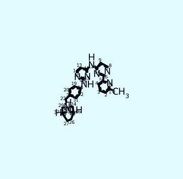 Cc1cccc(-c2nccc(Nc3ccnc(Nc4ccc(CN5C[C@H]6CC[C@@H](C5)N6)cc4)n3)n2)n1